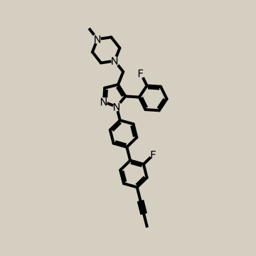 CC#Cc1ccc(-c2ccc(-n3ncc(CN4CCN(C)CC4)c3-c3ccccc3F)cc2)c(F)c1